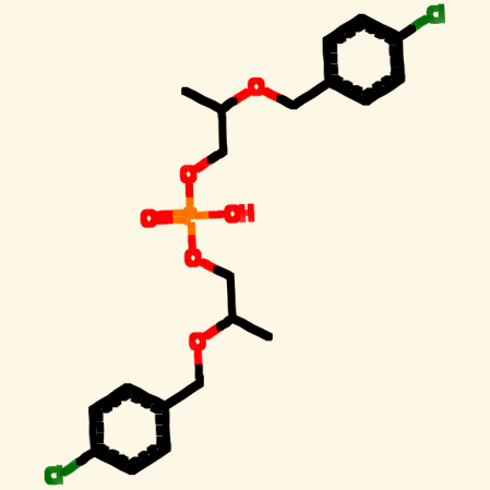 CC(COP(=O)(O)OCC(C)OCc1ccc(Cl)cc1)OCc1ccc(Cl)cc1